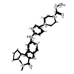 CN(C)C(=O)c1sc2cnc(Nc3ccc(N4CCN(C(=O)OC(C)(C)C)CC4)cn3)cc2c1C1CCCC1